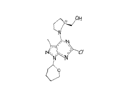 Cc1nn(C2CCCCO2)c2nc(Cl)nc(N3CCC[C@H]3CO)c12